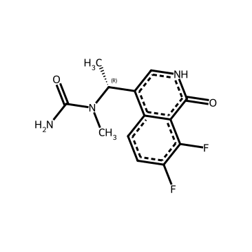 C[C@H](c1c[nH]c(=O)c2c(F)c(F)ccc12)N(C)C(N)=O